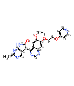 COc1cc2c(C3C(=O)Nc4nc(C)ncc43)ncnc2cc1OCCOc1ccncc1